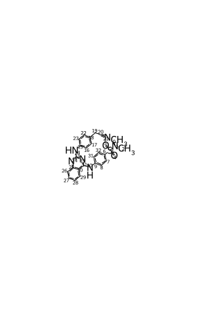 CN(C)S(=O)(=O)c1ccc(Nc2nc(Nc3ccc(CC#N)cc3)nc3ccccc23)cc1